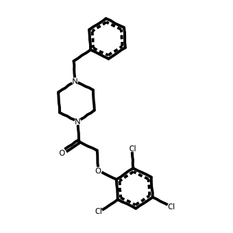 O=C(COc1c(Cl)cc(Cl)cc1Cl)N1CCN(Cc2ccccc2)CC1